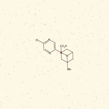 CC(C)(C)C12CC(CN(c3cnc(Cl)cn3)C1)N2OC(=O)O